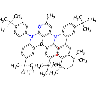 Cc1cc2c3c(n1)N(c1ccc(C(C)(C)C)cc1)c1ccc(C(C)(C)C)cc1B3c1cc(C(C)(C)C)ccc1N2c1ccc(C(C)(C)C)cc1-c1ccc2c(c1)C(C)(C)CCC2(C)C